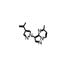 C=C(C)c1cnn(-c2cnn3ccc(C)nc23)c1